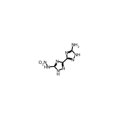 Nc1nc(-c2n[nH]c(N[N+](=O)[O-])n2)n[nH]1